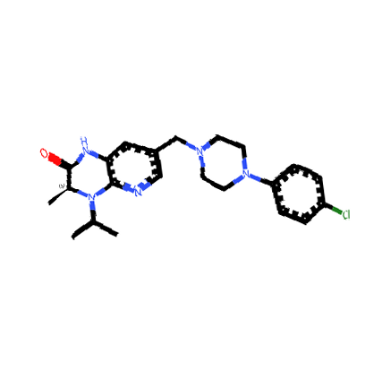 CC(C)N1c2ncc(CN3CCN(c4ccc(Cl)cc4)CC3)cc2NC(=O)[C@@H]1C